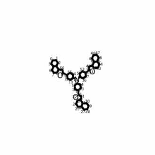 c1ccc2c(c1)ccc1oc(-c3ccc(N(c4ccc(-c5cc6c(ccc7ccccc76)o5)cc4)c4ccc(-c5cc6c(ccc7ccccc76)o5)cc4)cc3)cc12